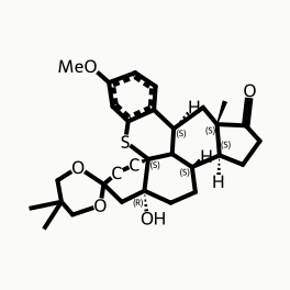 COc1ccc2c(c1)S[C@]13CCC4(C[C@]1(O)CC[C@@H]1C3[C@@H]2C[C@]2(C)C(=O)CC[C@@H]12)OCC(C)(C)CO4